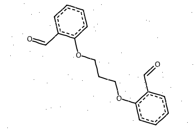 O=Cc1ccccc1OCCCOc1ccccc1C=O